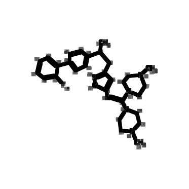 CC(Cc1cc(N=C(N2CCN(C)CC2)N2CCN(C)CC2)on1)c1ccc(-c2ccccc2F)cc1